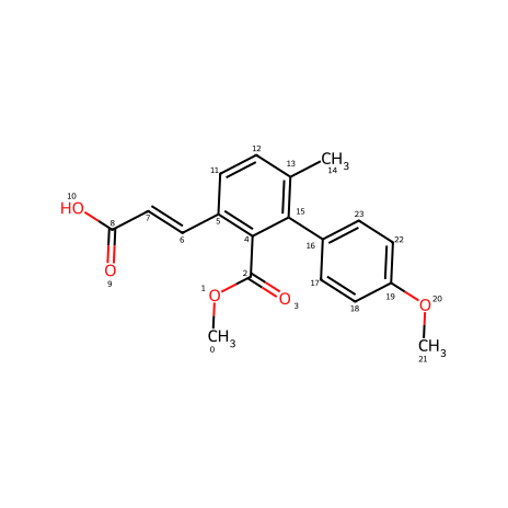 COC(=O)c1c(C=CC(=O)O)ccc(C)c1-c1ccc(OC)cc1